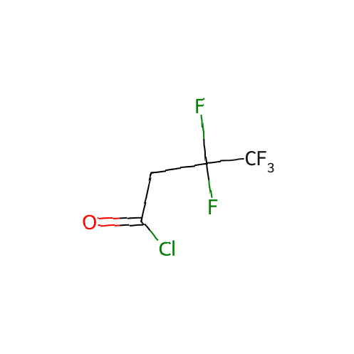 O=C(Cl)CC(F)(F)C(F)(F)F